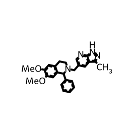 COc1cc2c(cc1OC)C(c1ccccc1)N(Cc1cnc3[nH]nc(C)c3c1)CC2